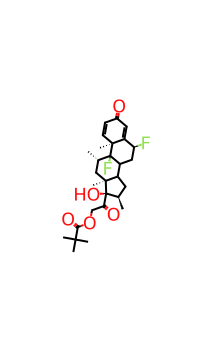 C[C@@H]1CC2C3C[C@H](F)C4=CC(=O)C=C[C@]4(C)[C@@]3(F)[C@@H](C)C[C@]2(C)[C@@]1(O)C(=O)COC(=O)C(C)(C)C